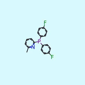 Cc1cccc(P(c2ccc(F)cc2)c2ccc(F)cc2)n1